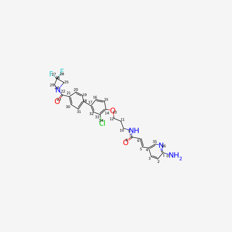 Nc1ccc(C=CC(=O)NCCCOc2ccc(-c3ccc(C(=O)N4CC(F)(F)C4)cc3)cc2Cl)cn1